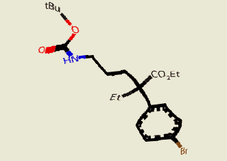 CCOC(=O)C(CC)(CCCNC(=O)OC(C)(C)C)c1ccc(Br)cc1